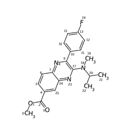 COC(=O)c1ccc2nc(-c3ccc(F)cc3)c(N(C)C(C)C)nc2c1